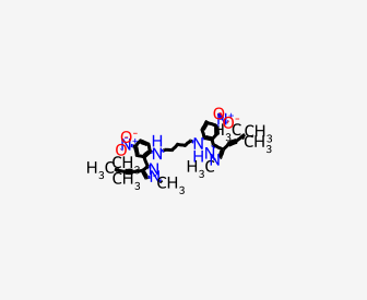 Cn1cc(C#CC(C)(C)C)c(-c2cc([N+](=O)[O-])ccc2NCCCCCNc2ccc([N+](=O)[O-])cc2-c2nn(C)cc2C#CC(C)(C)C)n1